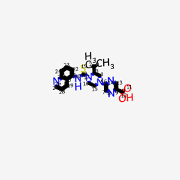 CC(C)C1CN(c2cnc(C(=O)O)cn2)CCN1C(=S)Nc1cccc2ncccc12